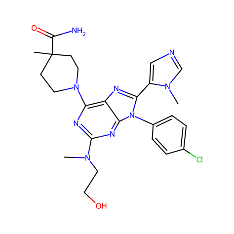 CN(CCO)c1nc(N2CCC(C)(C(N)=O)CC2)c2nc(-c3cncn3C)n(-c3ccc(Cl)cc3)c2n1